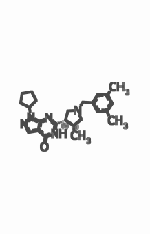 Cc1cc(C)cc(CN2C[C@@H](C)[C@H](c3nc4c(cnn4C4CCCC4)c(=O)[nH]3)C2)c1